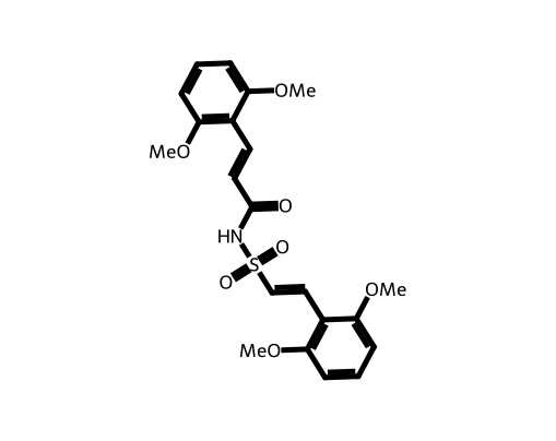 COc1cccc(OC)c1C=CC(=O)NS(=O)(=O)C=Cc1c(OC)cccc1OC